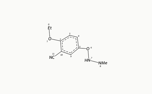 CCOc1ccc(ONNC)cc1C#N